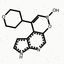 OB1C=C(C2CCOCC2)c2c(cnc3[nH]ccc23)O1